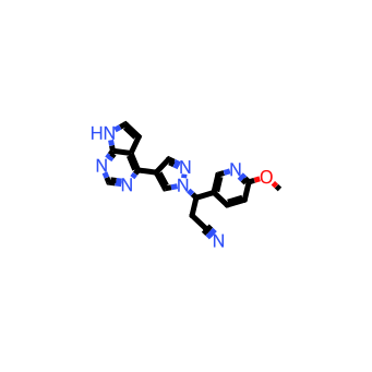 COc1ccc(C(CC#N)n2cc(-c3ncnc4[nH]ccc34)cn2)cn1